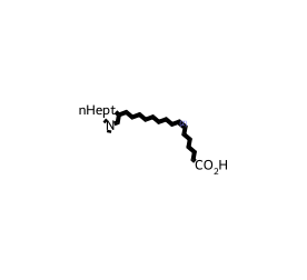 CCCCCCCC(CCCCCCCC/C=C\CCCCCC(=O)O)CN(C)C